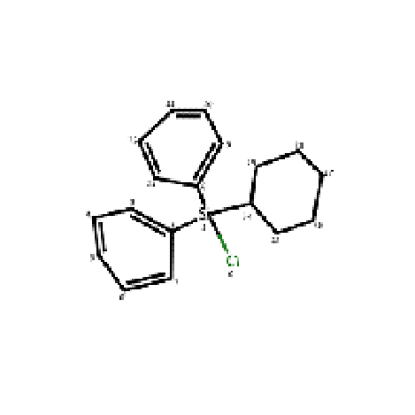 Cl[Si](c1ccccc1)(c1ccccc1)C1CCCCC1